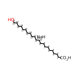 O=C(O)CCCCCCCCCCCCCCCCCCCCCO.[NaH]